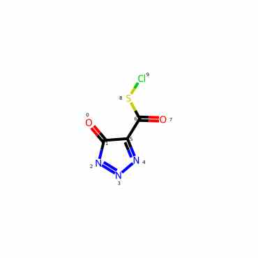 O=C1N=NN=C1C(=O)SCl